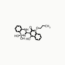 CCCOn1c(=O)c(C2=NS(O)(O)c3ccccc3N2)c(O)c2ccccc21